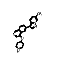 FC(F)(F)c1ccc2c(-c3ccc4cncc(OC5CCNCC5)c4c3)cnn2c1